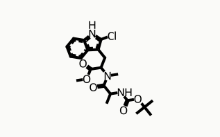 COC(=O)C(Cc1c(Cl)[nH]c2ccccc12)N(C)C(=O)C(C)NC(=O)OC(C)(C)C